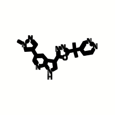 Cn1cc(-c2cnc3[nH]cc(-c4nnc(C(C)(C)c5ccnnc5)o4)c3c2)cn1